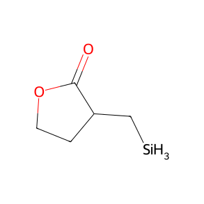 O=C1OCCC1C[SiH3]